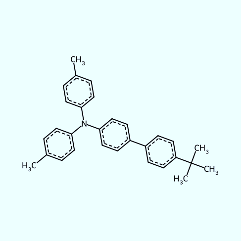 Cc1ccc(N(c2ccc(C)cc2)c2ccc(-c3ccc(C(C)(C)C)cc3)cc2)cc1